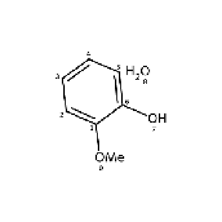 COc1ccccc1O.O